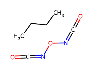 CCCC.O=C=NON=C=O